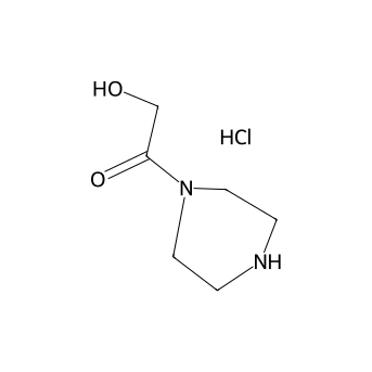 Cl.O=C(CO)N1CCNCC1